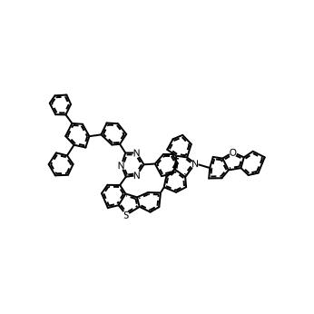 c1ccc(-c2cc(-c3ccccc3)cc(-c3cccc(-c4nc(-c5ccccc5)nc(-c5cccc6sc7ccc(-c8ccc9c(c8)c8ccccc8n9-c8ccc9c(c8)oc8ccccc89)cc7c56)n4)c3)c2)cc1